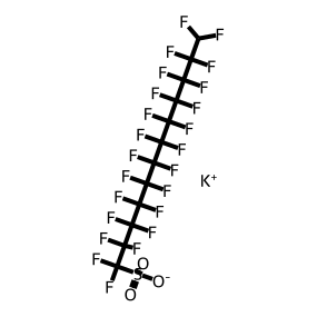 O=S(=O)([O-])C(F)(F)C(F)(F)C(F)(F)C(F)(F)C(F)(F)C(F)(F)C(F)(F)C(F)(F)C(F)(F)C(F)(F)C(F)(F)C(F)F.[K+]